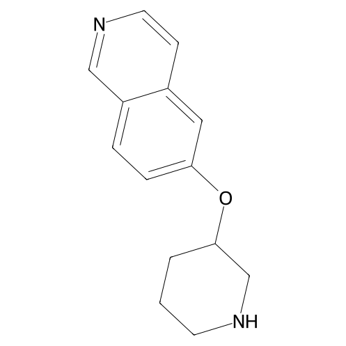 c1cc2cc(OC3CCCNC3)ccc2cn1